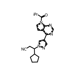 CC(C)C(=O)n1ccc2c(-c3cnn(C(CC#N)C4CCCC4)c3)ncnc21